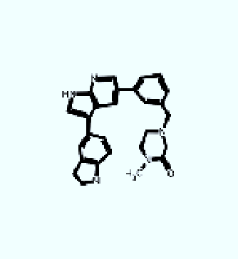 CN1CCN(Cc2cccc(-c3cnc4[nH]cc(-c5ccc6c(c5)CCN6)c4c3)c2)CC1=O